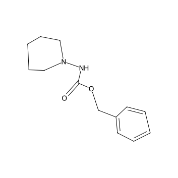 O=C(NN1CCCCC1)OCc1ccccc1